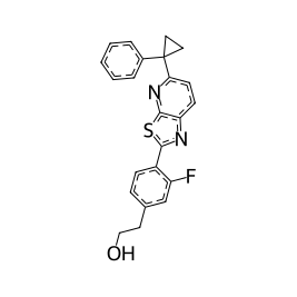 OCCc1ccc(-c2nc3ccc(C4(c5ccccc5)CC4)nc3s2)c(F)c1